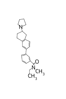 CCN(C)C(=O)c1cccc(-c2ccc3c(c2)CCC(N2CCCC2)C3)c1